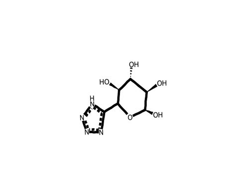 O[C@@H]1[C@@H](O)[C@@H](O)OC(c2nnn[nH]2)[C@H]1O